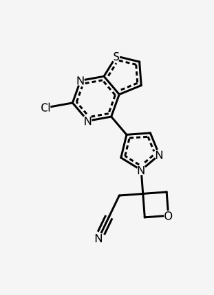 N#CCC1(n2cc(-c3nc(Cl)nc4sccc34)cn2)COC1